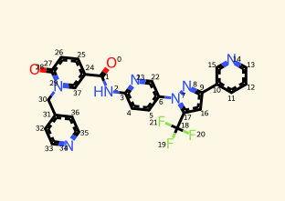 O=C(Nc1ccc(-n2nc(-c3cccnc3)cc2C(F)(F)F)cn1)c1ccc(=O)n(Cc2ccncc2)c1